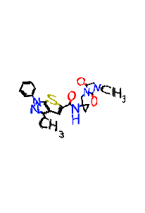 Cc1nn(-c2ccccc2)c2sc(C(=O)NC3(CN4C(=O)CN(C)C4=O)CC3)cc12